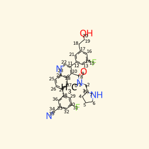 CN(C[C@@H]1CCCN1)C(=O)c1c(-c2cc(F)cc(CCO)c2)cnc2ccc(-c3cc(F)cc(C#N)c3)cc12